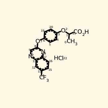 CC(Oc1ccc(Oc2cnc3cc(C(F)(F)F)ccc3n2)cc1)C(=O)O.Cl